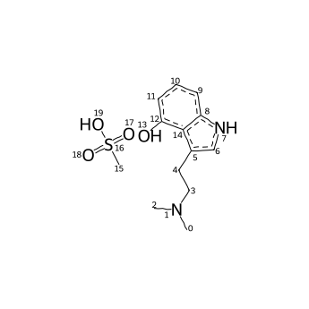 CN(C)CCc1c[nH]c2cccc(O)c12.CS(=O)(=O)O